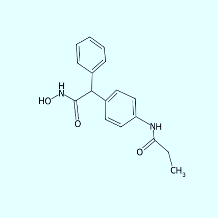 CCC(=O)Nc1ccc(C(C(=O)NO)c2ccccc2)cc1